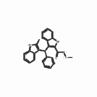 CNNC(=O)c1[nH]c2ccccc2c1C(c1ccccc1)c1c(C)[nH]c2ccccc12